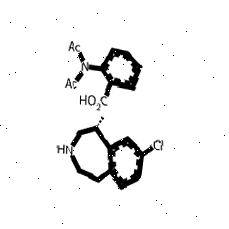 CC(=O)N(C(C)=O)c1ccccc1C(=O)O.C[C@H]1CNCCc2ccc(Cl)cc21